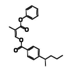 CCCC(C)c1ccc(C(=O)OC=C(C)C(=O)Oc2ccccc2)cc1